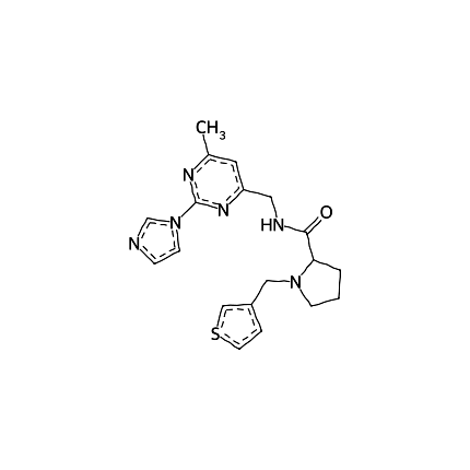 Cc1cc(CNC(=O)C2CCCN2Cc2ccsc2)nc(-n2ccnc2)n1